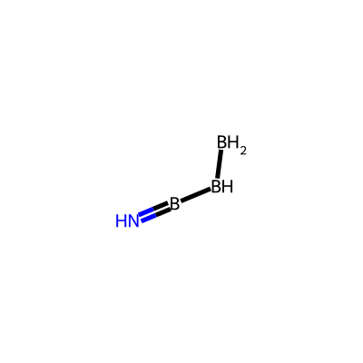 BBB=N